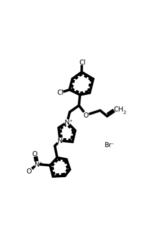 C=CCOC(C[n+]1ccn(Cc2ccccc2[N+](=O)[O-])c1)c1ccc(Cl)cc1Cl.[Br-]